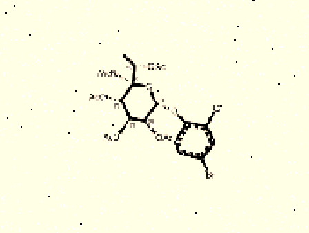 CN[C@]1([C@H](C)OC(C)=O)O[C@H](Oc2ccc(Br)cc2Cl)[C@@H](OC(C)=O)[C@@H](OC(C)=O)[C@@H]1OC(C)=O